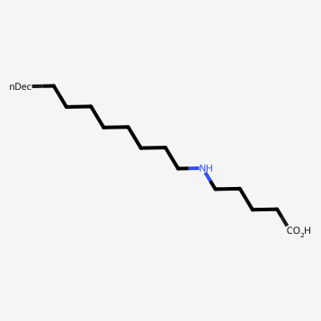 CCCCCCCCCCCCCCCCCCNCCCCC(=O)O